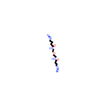 [N-]=[N+]=NCCCC(=O)NCCOCCNC(=O)CCCN=[N+]=[N-]